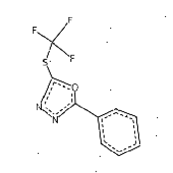 FC(F)(F)Sc1nnc(-c2ccccc2)o1